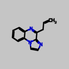 C=CCc1nc2ccccc2n2ccnc12